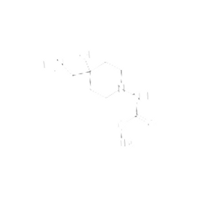 CC(C)(C)OC(=O)NN1CCC(O)(CN)CC1